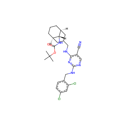 CC(C)(C)OC(=O)N[C@@H]1[C@@H]2CCC[C@H]1CC(CNc1nc(NCc3ccc(Cl)cc3Cl)ncc1C#N)C2